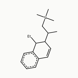 CCC1c2ccccc2C=CC1C(C)C[Si](C)(C)C